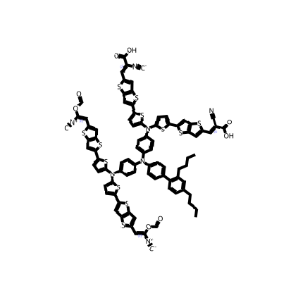 [C-]#[N+]/C(=C/c1cc2sc(-c3ccc(N(c4ccc(N(c5ccc(-c6ccc(CCCC)cc6CCCC)cc5)c5ccc(N(c6ccc(-c7cc8sc(/C=C(\[N+]#[C-])C(=O)O)cc8s7)s6)c6ccc(-c7cc8sc(/C=C(\C#N)C(=O)O)cc8s7)s6)cc5)cc4)c4ccc(-c5cc6sc(/C=C(\[N+]#[C-])OC=O)cc6s5)s4)s3)cc2s1)OC=O